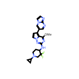 COc1nc(NC2CCN(C3CC3)CC2(F)F)nn2ccc(-c3cnc4nccn4c3)c12